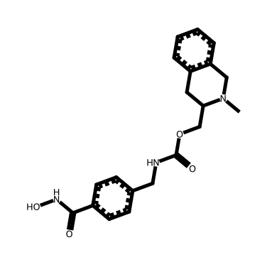 CN1Cc2ccccc2CC1COC(=O)NCc1ccc(C(=O)NO)cc1